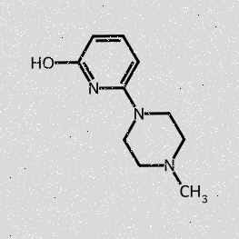 CN1CCN(c2cccc(O)n2)CC1